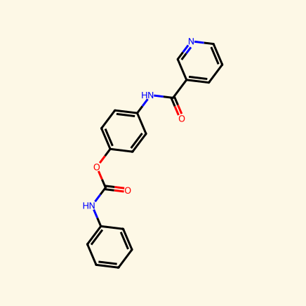 O=C(Nc1ccccc1)Oc1ccc(NC(=O)c2cccnc2)cc1